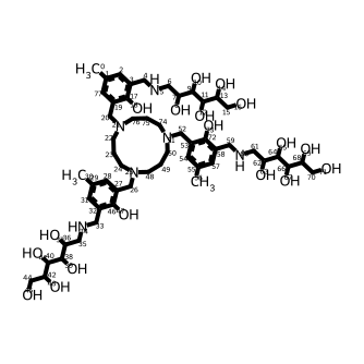 Cc1cc(CNCC(O)C(O)C(O)C(O)CO)c(O)c(CN2CCCN(Cc3cc(C)cc(CNCC(O)C(O)C(O)C(O)CO)c3O)CCCN(Cc3cc(C)cc(CNCC(O)C(O)C(O)C(O)CO)c3O)CCC2)c1